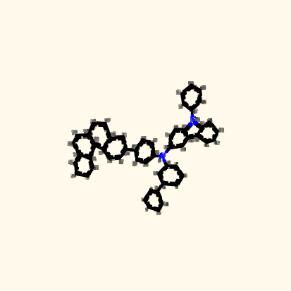 c1ccc(-c2cccc(N(c3ccc(-c4ccc5c(ccc6ccc7ccccc7c65)c4)cc3)c3ccc4c(c3)c3ccccc3n4-c3ccccc3)c2)cc1